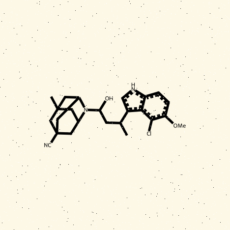 COc1ccc2[nH]cc(C(C)CC(O)N3C4CC5(C)CC3CC(C#N)(C4)C5)c2c1Cl